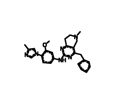 COc1cc(Nc2nc3c(c(Cc4ccccc4)n2)CN(C)CC3)ccc1-n1cnc(C)c1